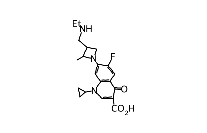 CCNCC1CN(c2cc3c(cc2F)c(=O)c(C(=O)O)cn3C2CC2)C1C